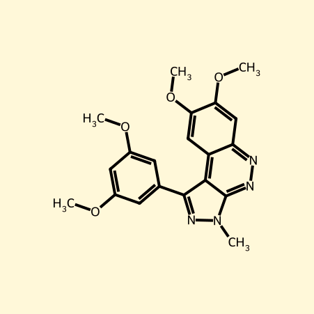 COc1cc(OC)cc(-c2nn(C)c3nnc4cc(OC)c(OC)cc4c23)c1